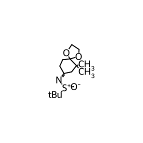 CC(C)(C)[S+]([O-])/N=C1/CCC2(OCCO2)C(C)(C)C1